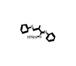 CCCCCCSC(=N\c1ccccc1)/C(C)=C/Sc1ccccc1